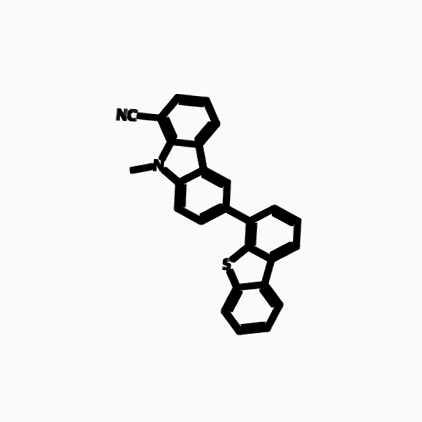 Cn1c2ccc(-c3cccc4c3sc3ccccc34)cc2c2cccc(C#N)c21